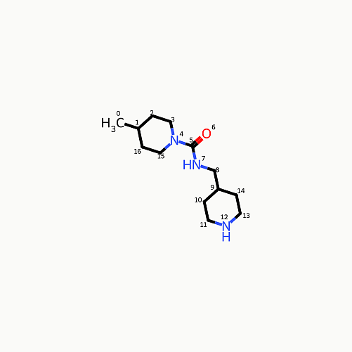 CC1CCN(C(=O)NCC2CCNCC2)CC1